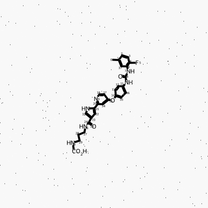 Cc1ccc(F)c(NC(=O)Nc2ccc(Oc3ccnc(-c4cc(C(=O)NCCCNC(=O)O)c[nH]4)c3)cc2)c1